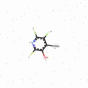 COc1c(O)c(F)nc(F)c1F